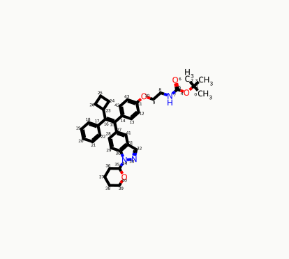 CC(C)(C)OC(=O)NCCOc1ccc(C(=C(c2ccccc2)C2CCC2)c2ccc3c(cnn3C3CCCCO3)c2)cc1